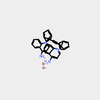 Nc1cc[n+](C2(C#CC3([n+]4ccc(N)c5ccccc54)C4=CC=C3C=C4)C3=CC=C2C=C3)c2ccccc12.[Br-].[Br-]